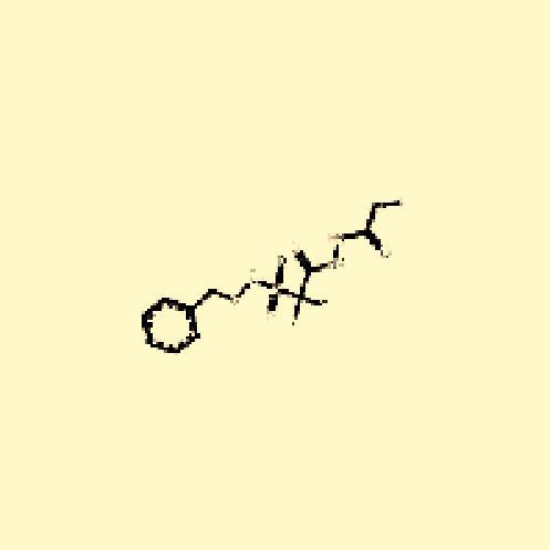 O=C(CI)NNC(=O)C(F)(F)S(=O)(=O)NOCc1ccccc1